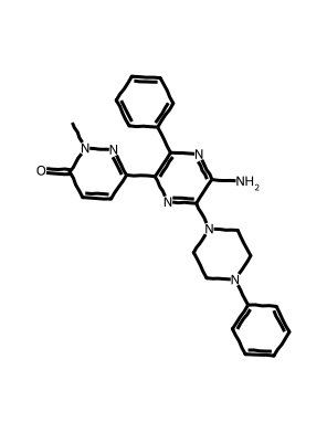 Cn1nc(-c2nc(N3CCN(c4ccccc4)CC3)c(N)nc2-c2ccccc2)ccc1=O